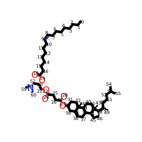 CCCCCCCC/C=C\CCCCCCCC(=O)OC(COC(=O)CCC(=O)O[C@H]1CC[C@@]2(C)C(=CCC3C2CC[C@@]2(C)C3CC[C@@H]2[C@H](C)CCCC(C)C)C1)CN(C)C